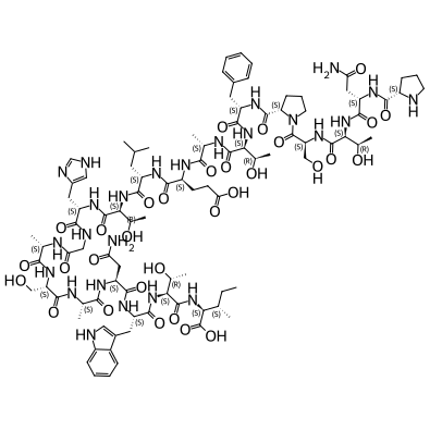 CC[C@H](C)[C@H](NC(=O)[C@@H](NC(=O)[C@H](Cc1c[nH]c2ccccc12)NC(=O)[C@H](CC(N)=O)NC(=O)[C@H](C)NC(=O)[C@H](CO)NC(=O)[C@H](C)NC(=O)CNC(=O)[C@H](Cc1c[nH]cn1)NC(=O)[C@@H](NC(=O)[C@H](CC(C)C)NC(=O)[C@H](CCC(=O)O)NC(=O)[C@H](C)NC(=O)[C@@H](NC(=O)[C@H](Cc1ccccc1)NC(=O)[C@@H]1CCCN1C(=O)[C@H](CO)NC(=O)[C@@H](NC(=O)[C@H](CC(N)=O)NC(=O)[C@@H]1CCCN1)[C@@H](C)O)[C@@H](C)O)[C@@H](C)O)[C@@H](C)O)C(=O)O